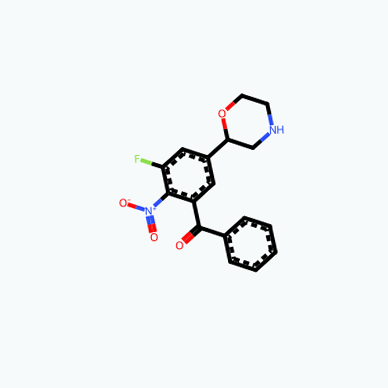 O=C(c1ccccc1)c1cc(C2CNCCO2)cc(F)c1[N+](=O)[O-]